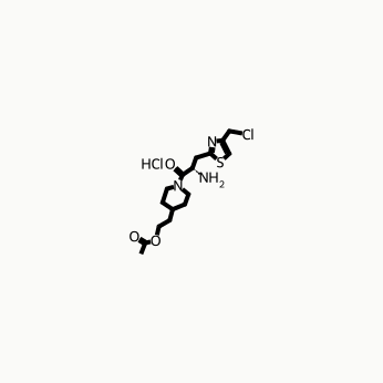 CC(=O)OCCC1CCN(C(=O)[C@@H](N)Cc2nc(CCl)cs2)CC1.Cl